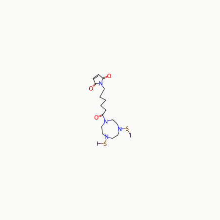 O=C(CCCCCN1C(=O)C=CC1=O)N1CCN(SI)CCN(SI)CC1